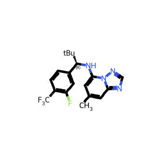 Cc1cc(N[C@@H](c2ccc(C(F)(F)F)c(F)c2)C(C)(C)C)n2ncnc2c1